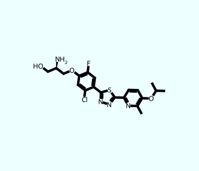 Cc1nc(-c2nnc(-c3cc(F)c(OC[C@H](N)CO)cc3Cl)s2)ccc1OC(C)C